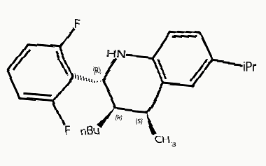 CCCC[C@@H]1[C@H](C)c2cc(C(C)C)ccc2N[C@H]1c1c(F)cccc1F